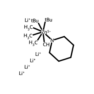 C[C](C)(C)[Zn-5]([CH3])([CH3])([CH3])([CH3])([N]1CCCCC1)[C](C)(C)C.[Li+].[Li+].[Li+].[Li+].[Li+]